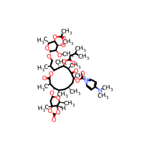 CO[C@H]1[C@@H](OC)[C@H](OC[C@H](C)[C@H]2OC(=O)[C@H](C)[C@@H](O[C@H]3C[C@@]4(C)OC(=O)O[C@H]4[C@H](C)O3)[C@H](C)C[C@@H](C)C[C@](C)(OC(=O)[n+]3ccc(N(C)C)cc3)C(=O)[C@H](C)[C@H](OC(=O)CC(C)C)[C@H]2C)O[C@H](C)[C@H]1OC(C)=O